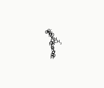 CCc1nc(N2CCN(c3ccc(OC(F)(F)F)cc3)CC2)ncc1CN[C@@H]1COc2nc([N+](=O)[O-])cn2C1